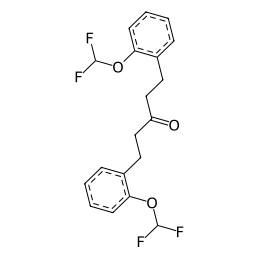 O=C(CCc1ccccc1OC(F)F)CCc1ccccc1OC(F)F